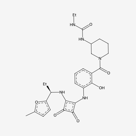 CCNC(=O)NC1CCCN(C(=O)c2cccc(Nc3c(N[C@H](CC)c4ccc(C)o4)c(=O)c3=O)c2O)C1